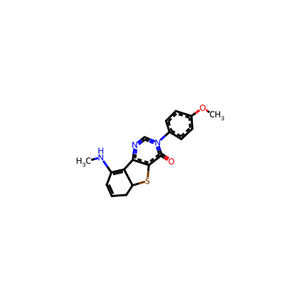 CNC1=C2c3ncn(-c4ccc(OC)cc4)c(=O)c3SC2CC=C1